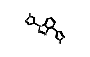 c1cc(-c2cn[nH]c2)c2c(c1)[SH](c1cn[nH]c1)N=N2